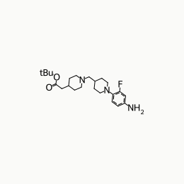 CC(C)(C)OC(=O)CC1CCN(CC2CCN(c3ccc(N)cc3F)CC2)CC1